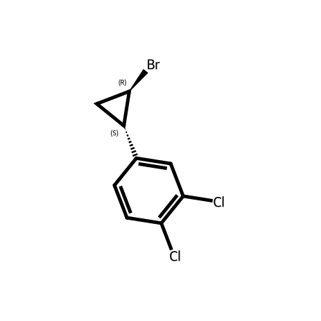 Clc1ccc([C@@H]2C[C@H]2Br)cc1Cl